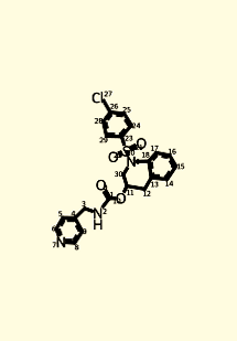 O=C(NCc1ccncc1)OC1Cc2ccccc2N(S(=O)(=O)c2ccc(Cl)cc2)C1